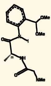 CNCC(=O)N[C@H](C)C(=O)N(I)c1ccccc1C(OC)OC